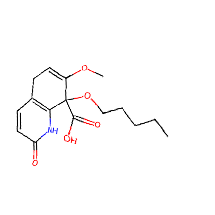 CCCCCOC1(C(=O)O)C(OC)=CCc2ccc(=O)[nH]c21